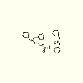 O=[PH](OCCON(Cc1ccccc1)Cc1ccccc1)OCCON(Cc1ccccc1)Cc1ccccc1